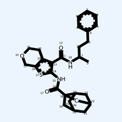 CC(CCc1ccccc1)NC(=O)c1c(NC(=O)C23CC4CC(CC2C4)C3)sc2c1CCOC2